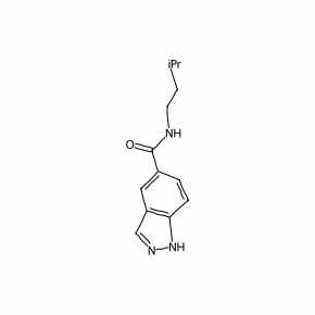 CC(C)CCNC(=O)c1ccc2[nH]ncc2c1